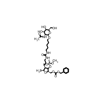 B[C@@H]1O[C@H](COC(=O)OCc2ccccc2)C(OP(O)(=S)OC)[C@@H]1CCCNC(=O)NCCCCCO[C@@H]1O[C@H](CO)[C@H](O)[C@H](O)[C@H]1NC(C)=O